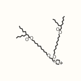 CCCCCC(CCCCC)CC(=O)OCCCCCCCCCCCOCC(CN1CCN(C)CC1)OCCCCCCCCCCCOC(=O)CC(CCCCC)CCCCC